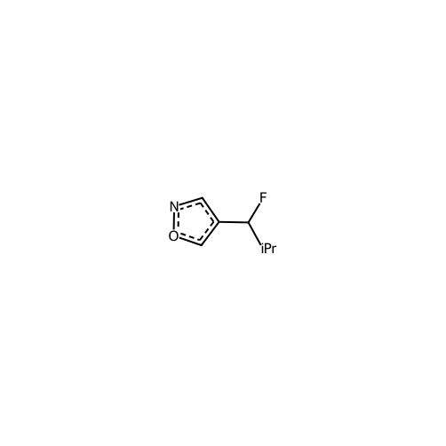 CC(C)C(F)c1cnoc1